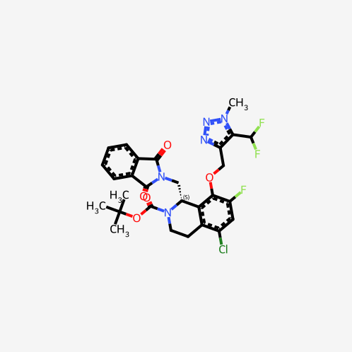 Cn1nnc(COc2c(F)cc(Cl)c3c2[C@@H](CN2C(=O)c4ccccc4C2=O)N(C(=O)OC(C)(C)C)CC3)c1C(F)F